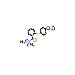 CN(C)C(=O)c1ccccc1Sc1ccc(C=O)cc1